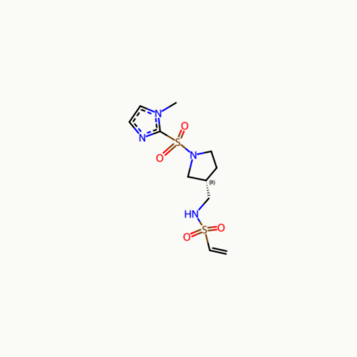 C=CS(=O)(=O)NC[C@H]1CCN(S(=O)(=O)c2nccn2C)C1